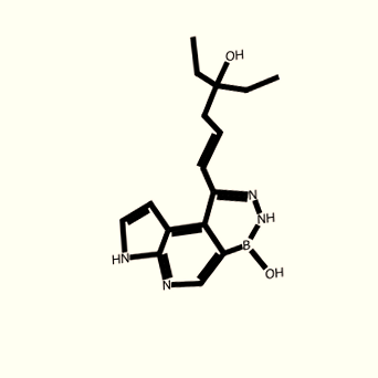 CCC(O)(CC)C/C=C/C1=NNB(O)c2cnc3[nH]ccc3c21